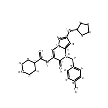 O=C(Nc1cn2nc(NC3CCCC3)cc2n(Cc2ccc(Cl)cc2)c1=O)C1CCOCC1